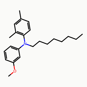 CCCCCCCCN(c1cccc(OC)c1)c1ccc(C)cc1C